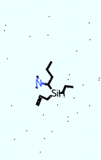 C=CC[SiH](CCC)C(CCC)N(C)C